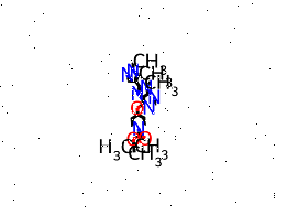 CCn1ncc(-c2nc3c(OC4CCN(C(=O)OC(C)(C)C)CC4)ncnc3n2C)c1C